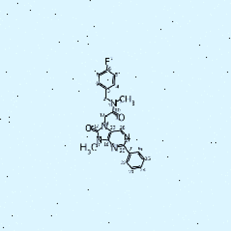 CN(Cc1ccc(F)cc1)C(=O)Cn1c(=O)n(C)c2nc(-c3ccccc3)ncc21